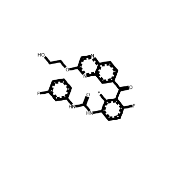 O=C(Nc1cccc(F)c1)Nc1ccc(F)c(C(=O)c2ccc3ncc(OCCO)nc3c2)c1F